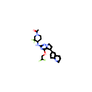 CC(=O)N1CCC(Nc2nc(OCC(F)F)c3c(-c4ccc5ncccc5c4)ccn3n2)C(F)(F)C1